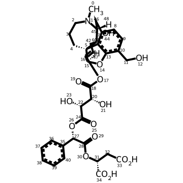 CN1CCC[C@]23c4c5ccc(CO)c4O[C@H]2C(OC(=O)[C@H](O)[C@@H](O)C(=O)O[C@H](C(=O)O[C@H](CC(=O)O)C(=O)O)c2ccccc2)=CC[C@@]3(O)[C@H]1C5